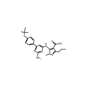 CCCc1nn(C)c(Nc2cc(-c3ccc(SC(C)(C)C)cc3)nc(N)n2)c1C(=O)O